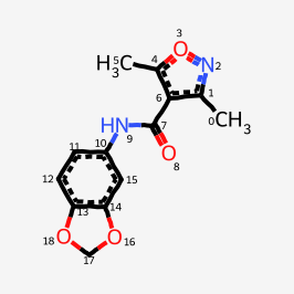 Cc1noc(C)c1C(=O)Nc1ccc2c(c1)OCO2